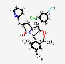 C[C@@H](O[C@H]1CN2C(=O)C(Cc3ccccn3)C[C@H]2[C@@H]1c1ccc(F)cc1Cl)c1cc(C(F)(F)F)cc(C(F)(F)F)c1